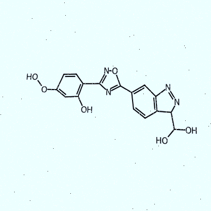 OOc1ccc(-c2noc(-c3ccc4c(c3)N=NC4C(O)O)n2)c(O)c1